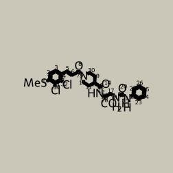 CSc1ccc(C=CC(=O)N2CCC(C(=O)N[C@@H](CNC(=O)Nc3ccccc3)C(=O)O)CC2)c(Cl)c1Cl